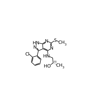 CSc1nc(NC[C@H](C)O)c2c(-c3ccccc3Cl)n[nH]c2n1